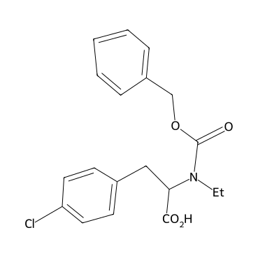 CCN(C(=O)OCc1ccccc1)C(Cc1ccc(Cl)cc1)C(=O)O